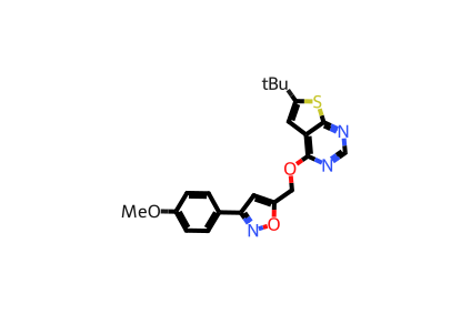 COc1ccc(-c2cc(COc3ncnc4sc(C(C)(C)C)cc34)on2)cc1